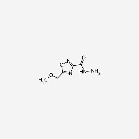 COCc1nc(C(=O)NN)no1